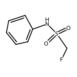 O=S(=O)(CF)Nc1ccccc1